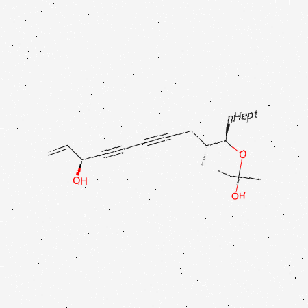 C=C[C@H](O)C#CC#CC[C@@H](C)[C@@H](CCCCCCC)OC(C)(C)O